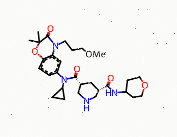 COCCCN1C(=O)C(C)(C)Oc2ccc(N(C(=O)[C@H]3CNC[C@@H](C(=O)NC4CCOCC4)C3)C3CC3)cc21